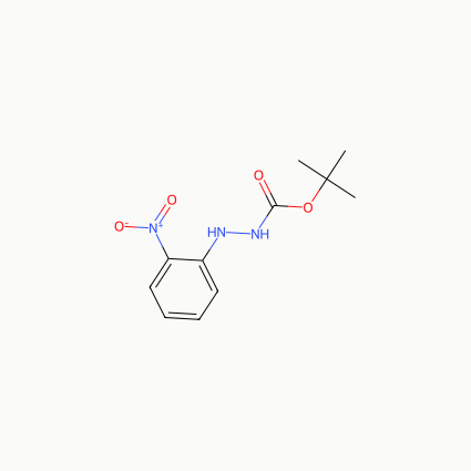 CC(C)(C)OC(=O)NNc1ccccc1[N+](=O)[O-]